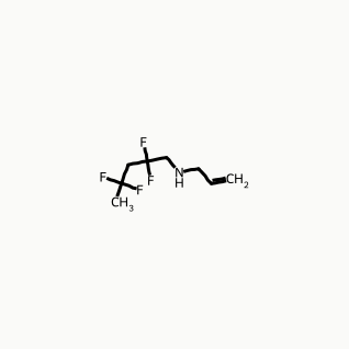 C=CCNCC(F)(F)CC(C)(F)F